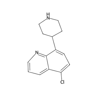 Clc1ccc(C2CCNCC2)c2ncccc12